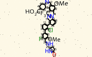 COc1cc(Cn2ncc3c(-c4cccc(-c5cc(F)c(CNC[C@@H]6CCC(=O)N6)c(OC)c5)c4Cl)cccc32)c(C(F)(F)F)cc1CN(C)[C@H]1CC[C@H](C(=O)O)CC1